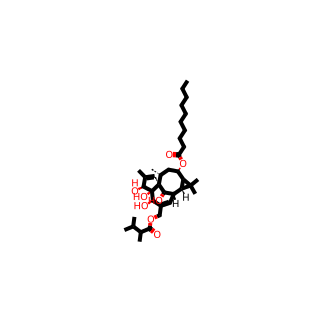 CCCCCCCCCC(=O)O[C@H]1C[C@@H](C)[C@]23C=C(C)[C@H](O)[C@@]2(O)[C@H](O)C(COC(=O)C(C)C(C)C)=C[C@H](C3O)[C@H]2C1C2(C)C